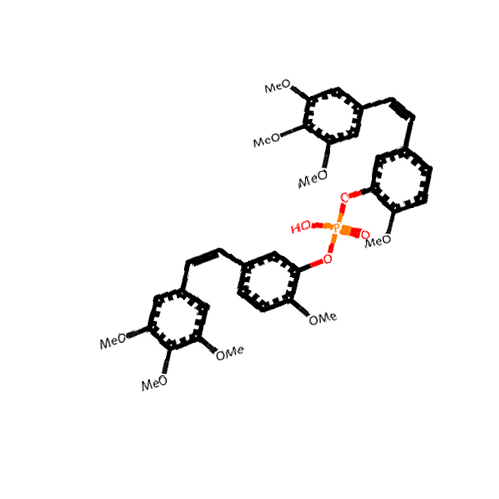 COc1ccc(/C=C\c2cc(OC)c(OC)c(OC)c2)cc1OP(=O)(O)Oc1cc(/C=C\c2cc(OC)c(OC)c(OC)c2)ccc1OC